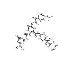 CC(C)Cc1ccc(C(C)C(=O)Oc2ccc(OC(=O)CC(CO[N+](=O)[O-])O[N+](=O)[O-])c(C(=O)Oc3ccc(P(=S)(S)N4CCOCC4)cc3)c2)cc1